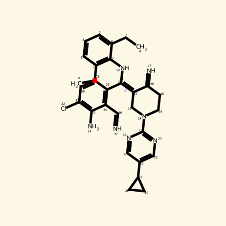 CCc1cccc(CC)c1N/C(=C1/CN(c2ncc(C3CC3)cn2)CCC1=N)c1ccc(Cl)c(N)c1C=N